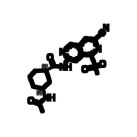 CC(=O)N[C@@H]1CCC[C@H](C(=O)Nc2cc3c(S(C)(=O)=O)nc(C#N)cc3cn2)C1